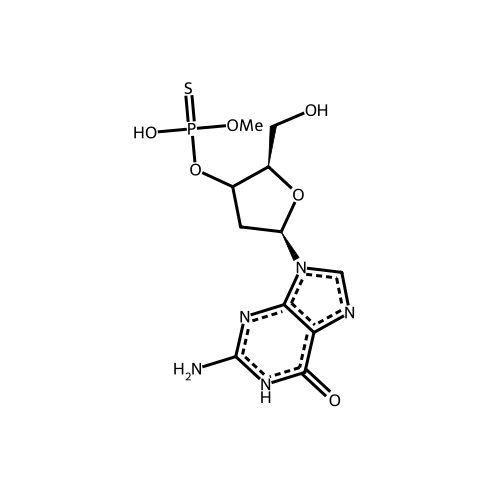 COP(O)(=S)OC1C[C@H](n2cnc3c(=O)[nH]c(N)nc32)O[C@@H]1CO